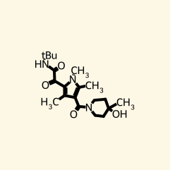 Cc1c(C(=O)N2CCC(C)(O)CC2)c(C)n(C)c1C(=O)C(=O)NC(C)(C)C